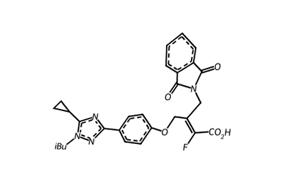 CCC(C)n1nc(-c2ccc(OC/C(CN3C(=O)c4ccccc4C3=O)=C(\F)C(=O)O)cc2)nc1C1CC1